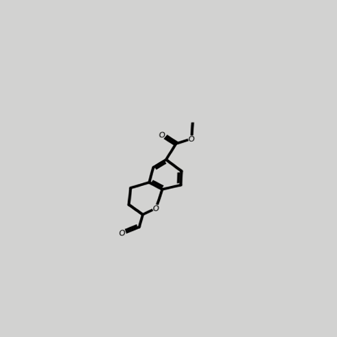 COC(=O)c1ccc2c(c1)CCC(C=O)O2